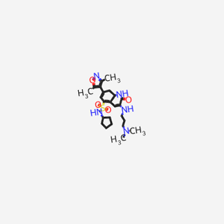 Cc1noc(C)c1C1=CC(S(=O)(=O)NC2CCCC2)=C2C=C(NCCCN(C)C)C(=O)NC2C1